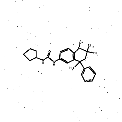 CC(=O)N1c2ccc(NC(=O)NC3CCCC3)cc2C(C)(c2ccccc2)CC1(C)C